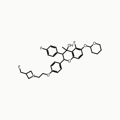 CC1(O)c2c(ccc(OC3CCCCO3)c2F)OC(c2ccc(OCCN3CC(CF)C3)cc2)C1c1ccc(F)cc1